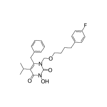 CC(C)c1c(Cc2ccccc2)n(COCCCCc2ccc(F)cc2)c(=O)n(O)c1=O